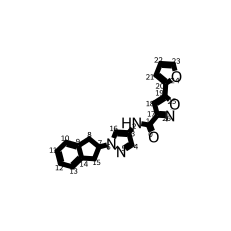 O=C(Nc1cnn(C2Cc3ccccc3C2)c1)c1cc(-c2ccco2)on1